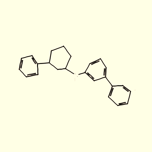 c1ccc(-c2cccc(NC3CCCC(c4ccccc4)C3)c2)cc1